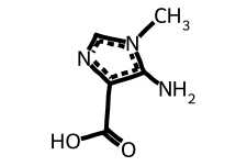 Cn1cnc(C(=O)O)c1N